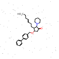 O=C(O)CC/C=C/CCC1C(OCc2ccc(-c3ccccc3)cc2)CC(=O)C1N1CCCCC1